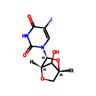 CC[C@@]12CO[C@H](C1O)[C@H](n1cc(I)c(=O)[nH]c1=O)O2